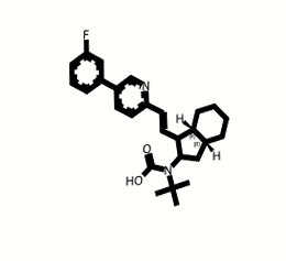 CC(C)(C)N(C(=O)O)C1C[C@H]2CCCC[C@H]2C1C=Cc1ccc(-c2cccc(F)c2)cn1